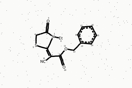 CCN1C(=O)CSC1=C(C#N)C(=O)OCc1ccccc1